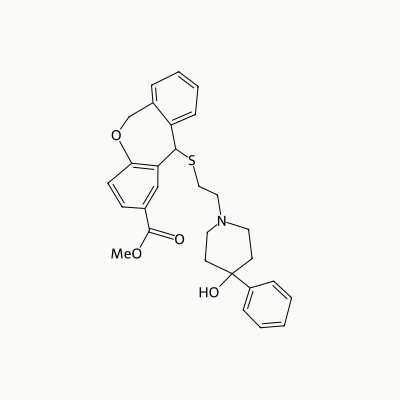 COC(=O)c1ccc2c(c1)C(SCCN1CCC(O)(c3ccccc3)CC1)c1ccccc1CO2